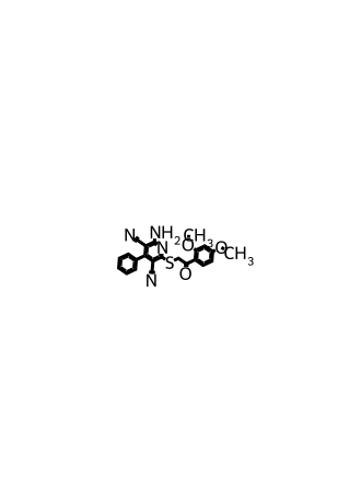 COc1ccc(C(=O)CSc2nc(N)c(C#N)c(-c3ccccc3)c2C#N)c(OC)c1